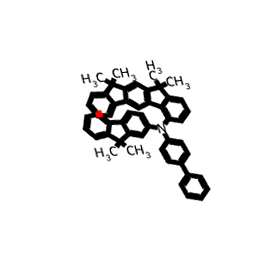 CC1(C)c2ccccc2-c2ccc(N(c3ccc(-c4ccccc4)cc3)c3cccc4c3-c3cc5c(cc3C4(C)C)C(C)(C)c3ccccc3-5)cc21